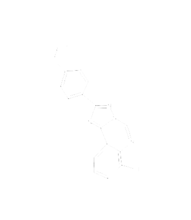 COc1ccc(-c2nc3c4cccc(Cl)c4ncn3n2)cc1